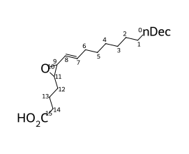 CCCCCCCCCCCCCCCCC=CC1OC1CCCC(=O)O